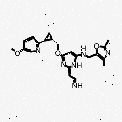 COc1ccc([C@H]2C[C@@H]2COC2=N/C(=C/C=N)NC(NCc3oc(C)nc3C)=C2)nc1